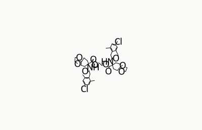 Cc1cc(Cl)cc(C)c1CC(=O)NC1(C(=O)OCCOC(=O)C2(NC(=O)Cc3c(C)cc(Cl)cc3C)CCC3(CC2)OCCO3)CCC2(CC1)OCCO2